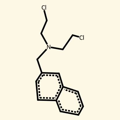 ClCCN(CCCl)Cc1ccc2ccccc2c1